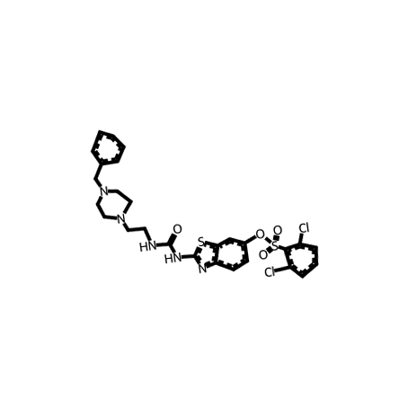 O=C(NCCN1CCN(Cc2ccccc2)CC1)Nc1nc2ccc(OS(=O)(=O)c3c(Cl)cccc3Cl)cc2s1